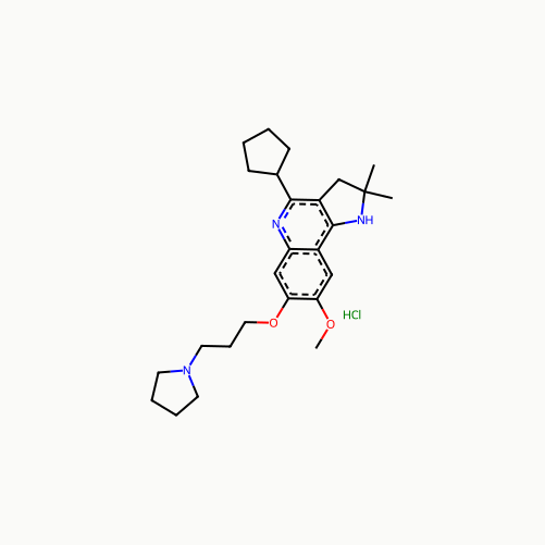 COc1cc2c3c(c(C4CCCC4)nc2cc1OCCCN1CCCC1)CC(C)(C)N3.Cl